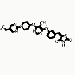 CCc1cnc(N2CCC(Oc3ncnc(Oc4cccc(C=C5SC(=O)NC5=O)c4)c3C)CC2)nc1